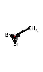 CCCCCCCCCCCCC1=CC=C(c2nc(-c3ccc(Br)cc3)nc(-c3ccc(Br)cc3)n2)CC=C1